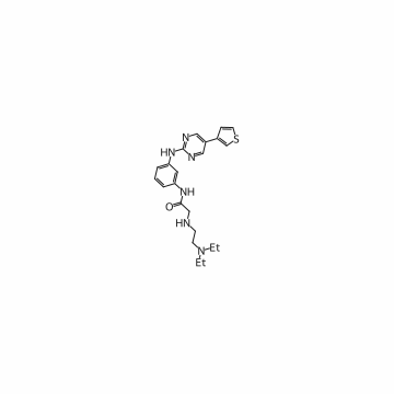 CCN(CC)CCNCC(=O)Nc1cccc(Nc2ncc(-c3ccsc3)cn2)c1